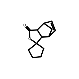 O=C1OC2(CCCC2)C2C3C=CC(C3)C12